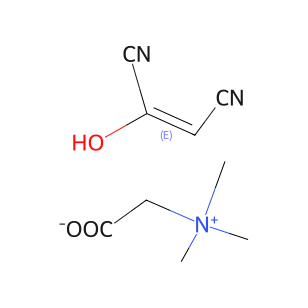 C[N+](C)(C)CC(=O)[O-].N#C/C=C(/O)C#N